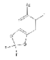 CC(=O)c1cc2c(cc1F)OC(F)(F)O2